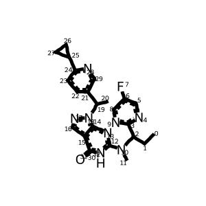 CCC(c1ncc(F)cn1)N(C)c1nc2c(cnn2C(C)c2ccc(C3CC3)nc2)c(=O)[nH]1